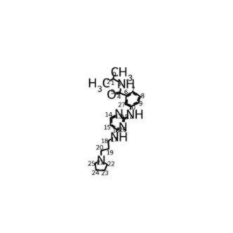 CC(C)NC(=O)c1cccc(Nc2nccc(NCCCN3CCCC3)n2)c1